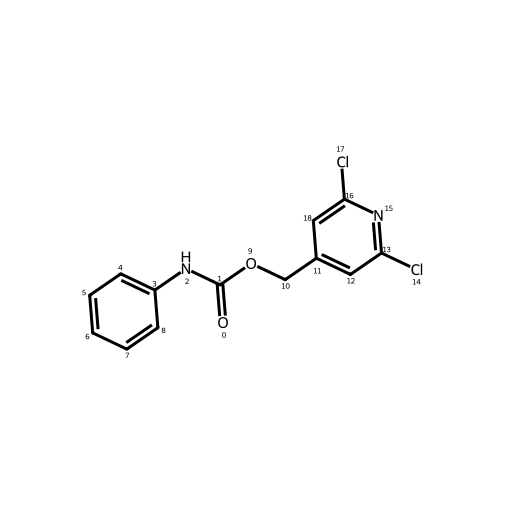 O=C(Nc1ccccc1)OCc1cc(Cl)nc(Cl)c1